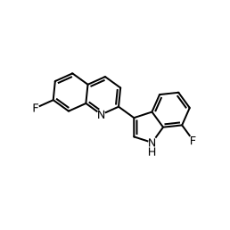 Fc1ccc2ccc(-c3c[nH]c4c(F)cccc34)nc2c1